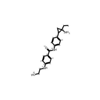 CCC1(N)CC1c1ccc(NC(=O)c2ccc(NCCO)cc2)cc1